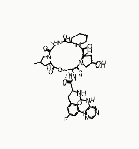 C[C@@H]1C[C@H]2C(=O)O[C@@H](C)[C@H](NC(=O)[C@H](Cc3cc(F)cc(F)c3)NC(=O)Nc3cncnc3)C(=O)N3C[C@H](O)C[C@H]3C(=O)N3CCCC[C@H]3C(=O)N[C@@H](C)C(=O)N2C1